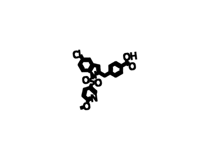 COc1ccc(S(=O)(=O)n2c(Cc3ccc(C(=O)O)cc3)cc3cc(Cl)ccc32)cn1